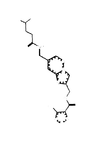 Cc1nonc1C(=O)NCc1cn2ncc(CNC(=O)CCC(F)F)cc2n1